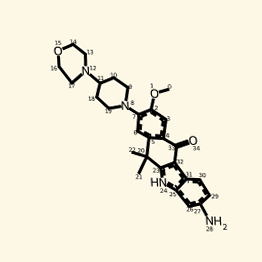 COc1cc2c(cc1N1CCC(N3CCOCC3)CC1)C(C)(C)c1[nH]c3cc(N)ccc3c1C2=O